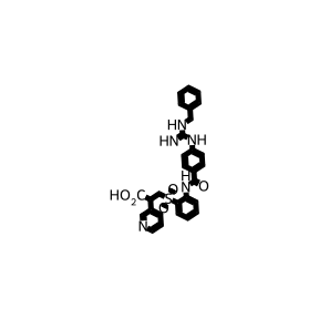 N=C(NCc1ccccc1)Nc1ccc(C(=O)Nc2ccccc2S(=O)(=O)CC(C(=O)O)c2cccnc2)cc1